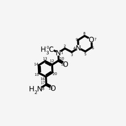 CN(CCN1CCOCC1)C(=O)c1cccc(C(N)=O)c1